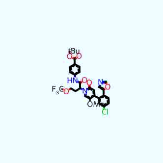 COc1cn(C(CCOC(F)(F)F)C(=O)Nc2ccc(C(=O)OC(C)(C)C)cc2)c(=O)cc1-c1cc(Cl)ccc1-c1cnco1